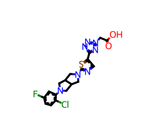 O=C(O)Cn1nnc(-c2cnc(N3CC4CN(c5cc(F)ccc5Cl)CC4C3)s2)n1